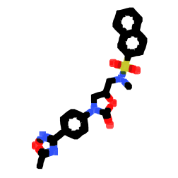 Cc1nc(-c2ccc(N3CC(CN(C)S(=O)(=O)c4ccc5ccccc5c4)OC3=O)cc2)no1